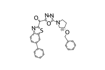 O=C(c1nnc(N2CC[C@H](OCc3ccccc3)C2)o1)c1nc2ccc(-c3ccccc3)cc2s1